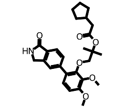 COc1ccc(-c2ccc3c(c2)CNC3=O)c(OCC(C)(C)OC(=O)CC2CCCC2)c1OC